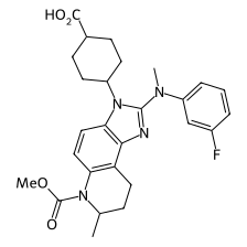 COC(=O)N1c2ccc3c(nc(N(C)c4cccc(F)c4)n3C3CCC(C(=O)O)CC3)c2CCC1C